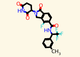 Cc1cccc(C(NC(=O)c2ccc3c(c2F)CN(C2CCC(=O)NC2=O)C3=O)C(F)(F)F)c1